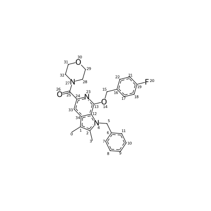 Cc1c(C)n(Cc2ccccc2)c2c(OCc3ccc(F)cc3)nc(C(=O)N3CCOCC3)cc12